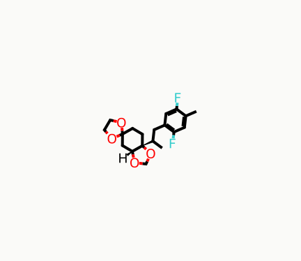 Cc1cc(F)c(CC(C)[C@]23CCC4(C[C@H]2OCO3)OCCO4)cc1F